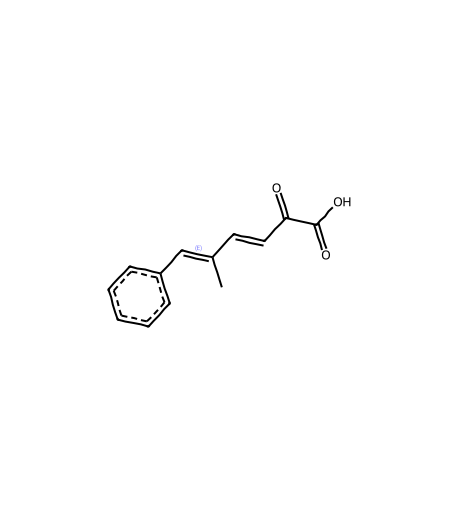 C/C(C=CC(=O)C(=O)O)=C\c1ccccc1